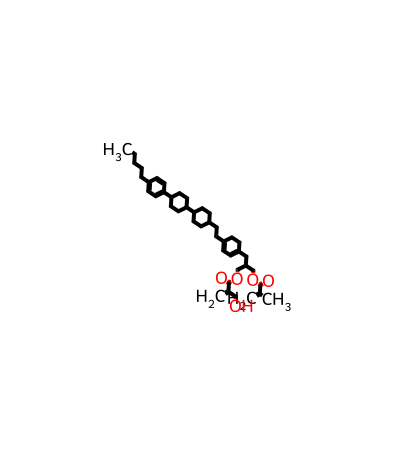 C=C(C)C(=O)OCC(COC(=O)C(=C)CO)CC1=CC=C(CCC2CCC(C3CCC(c4ccc(CCCCC)cc4)CC3)CC2)CC1